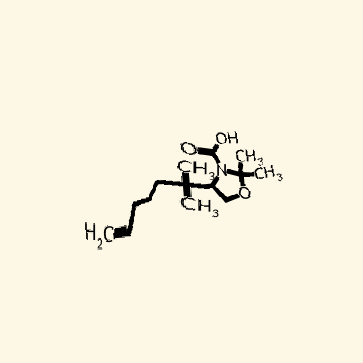 C=CCCCC(C)(C)C1COC(C)(C)N1C(=O)O